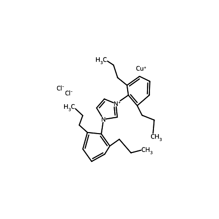 CCCc1cccc(CCC)c1-n1cc[n+](-c2c(CCC)cccc2CCC)c1.[Cl-].[Cl-].[Cu+]